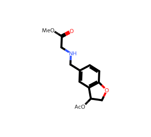 COC(=O)CNCc1ccc2c(c1)C(OC(C)=O)CO2